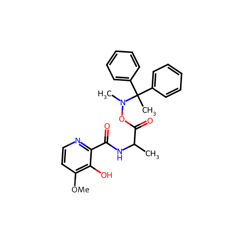 COc1ccnc(C(=O)NC(C)C(=O)ON(C)C(C)(c2ccccc2)c2ccccc2)c1O